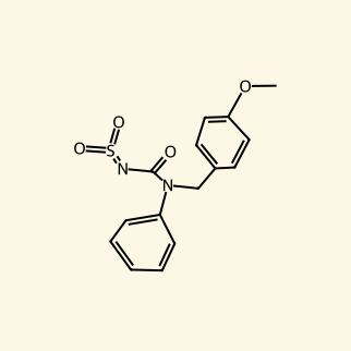 COc1ccc(CN(C(=O)N=S(=O)=O)c2ccccc2)cc1